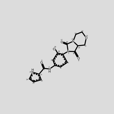 O=C(Nc1ccc(N2C(=O)C3COCCN3C2=O)c(Cl)c1)c1ccc[nH]1